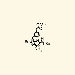 CCCCNc1nc(N)c2nc(Br)n(Cc3cccc(CC(=O)OC)c3)c2n1